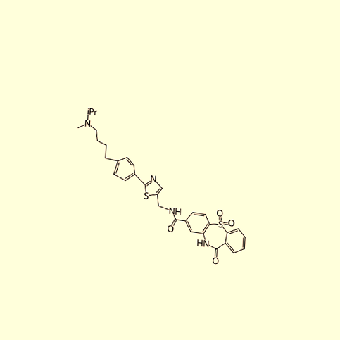 CC(C)N(C)CCCCc1ccc(-c2ncc(CNC(=O)c3ccc4c(c3)NC(=O)c3ccccc3S4(=O)=O)s2)cc1